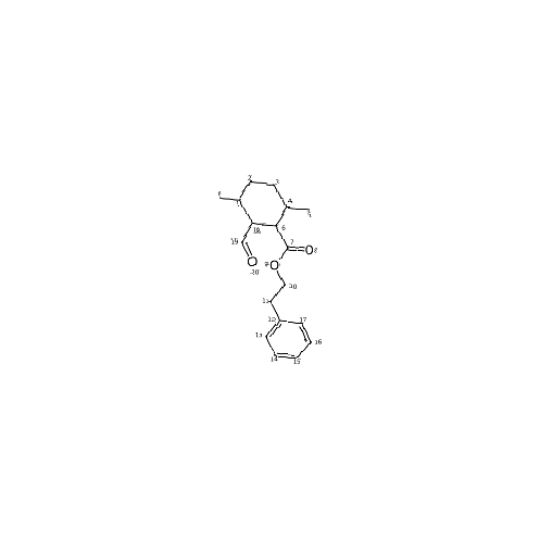 CC1CCC(C)C(C(=O)OCCc2ccccc2)C1C=O